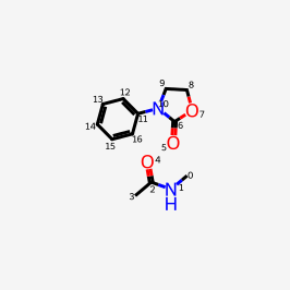 CNC(C)=O.O=C1OCCN1c1ccccc1